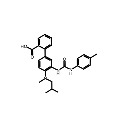 Cc1ccc(NC(=O)Nc2cc(-c3ccccc3C(=O)O)ccc2N(C)CC(C)C)cc1